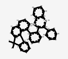 CC1(C)c2ccccc2-c2c1ccc1cccc(-c3ccccc3-c3nc4ccccc4nc3-c3ccccc3)c21